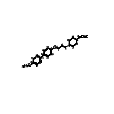 CCCCCCCCCC[C@H]1CC[C@H](CCCOc2ccc(-c3ncc(CCCCCC)cn3)cc2)CC1